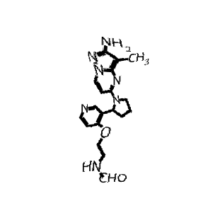 Cc1c(N)nn2ccc(N3CCCC3c3cnccc3OCCNC=O)nc12